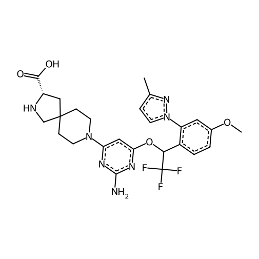 COc1ccc(C(Oc2cc(N3CCC4(CC3)CN[C@H](C(=O)O)C4)nc(N)n2)C(F)(F)F)c(-n2ccc(C)n2)c1